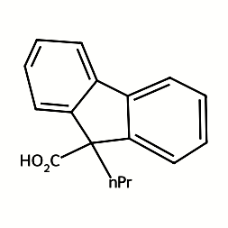 CCCC1(C(=O)O)c2ccccc2-c2ccccc21